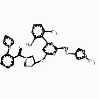 Cc1cccc(C)c1-c1cc(OC2CCN(C(=O)c3ccccc3-n3cccc3)C2)nc(NSc2cnn(C)c2)n1